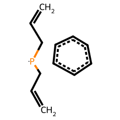 C=CC[P]CC=C.c1ccccc1